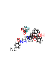 N#Cc1ccc(C(=O)NCCC[N+]23CCC(CC2)[C@@H](OC(=O)C(O)(c2ccccc2)c2ccccc2)C3)cc1.O=C([O-])C(F)(F)F